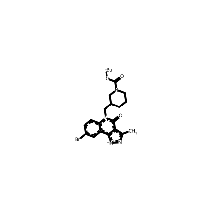 Cc1n[nH]c2c1c(=O)n(CC1CCCN(C(=O)OC(C)(C)C)C1)c1ccc(Br)cc21